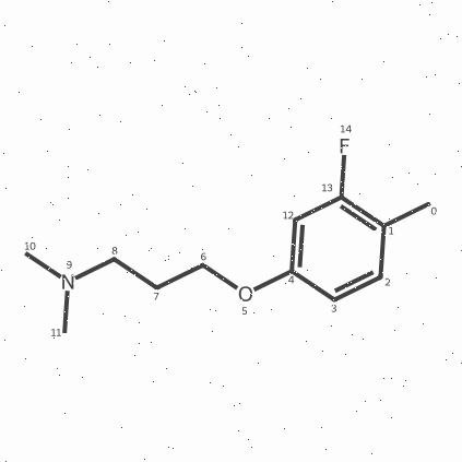 Cc1ccc(OCCCN(C)C)cc1F